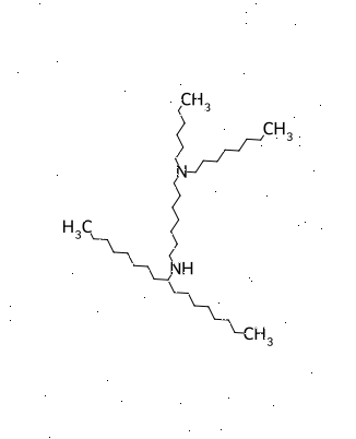 CCCCCCCCC(CCCCCCCC)NCCCCCCCN(CCCCCC)CCCCCCCC